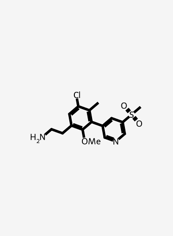 COc1c(CCN)cc(Cl)c(C)c1-c1cncc(S(C)(=O)=O)c1